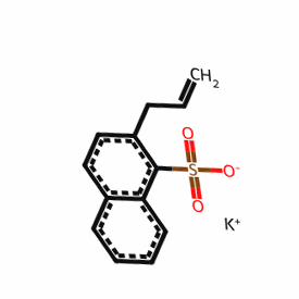 C=CCc1ccc2ccccc2c1S(=O)(=O)[O-].[K+]